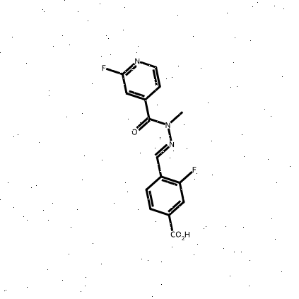 CN(N=Cc1ccc(C(=O)O)cc1F)C(=O)c1ccnc(F)c1